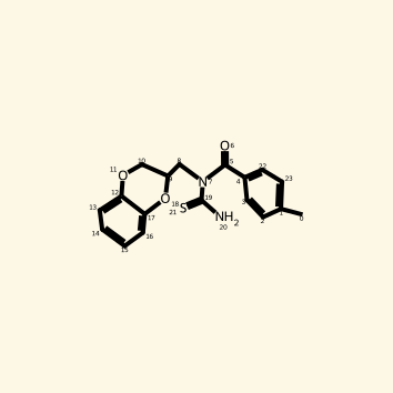 Cc1ccc(C(=O)N(CC2COc3ccccc3O2)C(N)=S)cc1